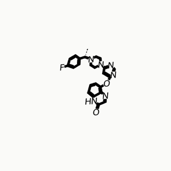 C[C@@H](c1ccc(F)cc1)N1CCN(c2cc(Oc3cccc4[nH]c(=O)cnc34)ncn2)CC1